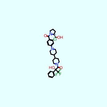 O=C(c1ccc(N2CCC(C3CCN(C(=O)[C@](O)(c4ccccc4)C(F)(F)F)CC3)CC2)cc1Cl)N1CCC[C@H]1CO